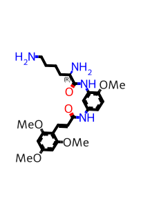 COc1cc(OC)c(C=CC(=O)Nc2ccc(OC)c(NC(=O)[C@H](N)CCCCN)c2)c(OC)c1